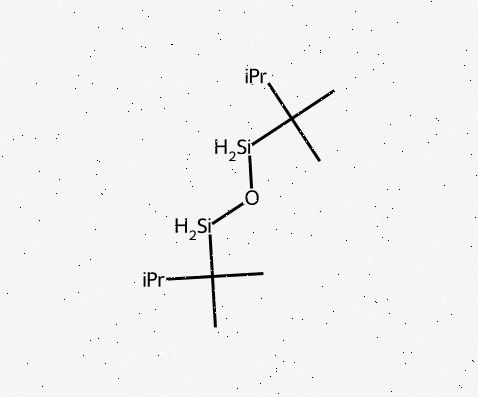 CC(C)C(C)(C)[SiH2]O[SiH2]C(C)(C)C(C)C